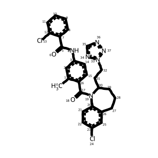 Cc1cc(NC(=O)c2ccccc2Cl)ccc1C(=O)N1c2ccc(Cl)cc2CCCC1CCn1ncnn1